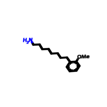 COc1ccccc1CCCCCCCCN